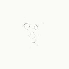 CC(C)(C)c1nc(-c2cccc(NS(=O)(=O)CCC(F)(F)F)c2Cl)c(-c2ccnc(Cl)n2)s1